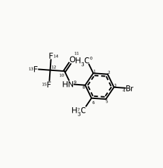 Cc1cc(Br)cc(C)c1NC(=O)C(F)(F)F